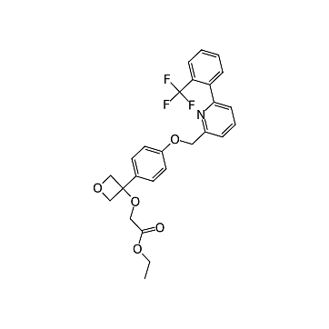 CCOC(=O)COC1(c2ccc(OCc3cccc(-c4ccccc4C(F)(F)F)n3)cc2)COC1